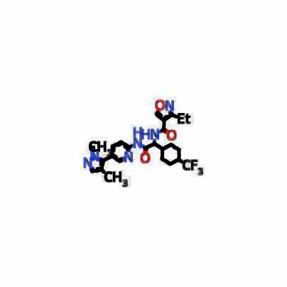 CCc1nocc1C(=O)NC(C(=O)Nc1ccc(-c2c(C)cnn2C)cn1)C1CCC(C(F)(F)F)CC1